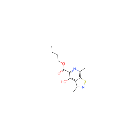 CCCCOC(=O)c1nc(C)c2snc(C)c2c1O